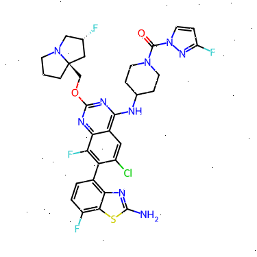 Nc1nc2c(-c3c(Cl)cc4c(NC5CCN(C(=O)n6ccc(F)n6)CC5)nc(OC[C@@]56CCCN5C[C@H](F)C6)nc4c3F)ccc(F)c2s1